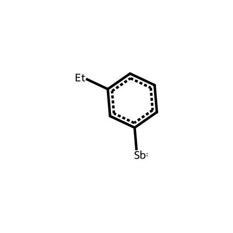 CCc1ccc[c]([Sb])c1